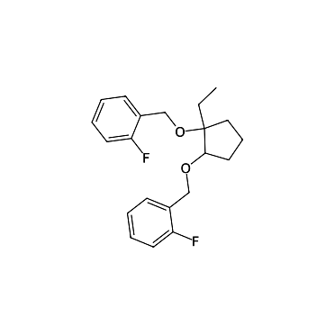 CCC1(OCc2ccccc2F)CCCC1OCc1ccccc1F